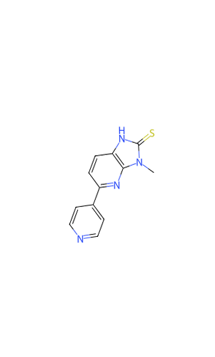 Cn1c(=S)[nH]c2ccc(-c3ccncc3)nc21